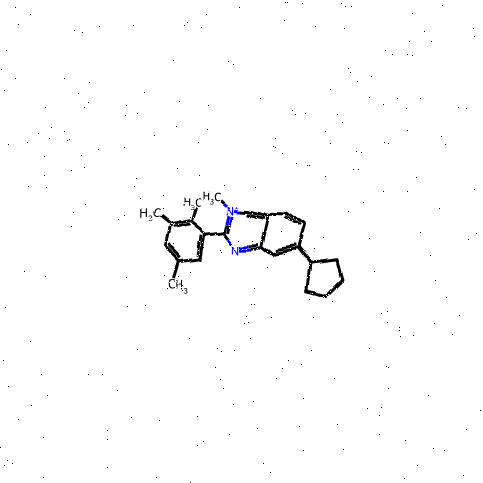 Cc1cc(C)c(C)c(-c2nc3cc(C4CCCC4)ccc3c[n+]2C)c1